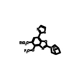 CCOC(=O)c1cc(-c2nccs2)c2oc(N3CC4CC(C3)N4)nc2c1OC(F)(F)F